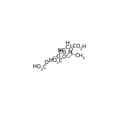 CC#N.CC(COC(=O)O)OC(=O)O.O=C(O)OCCOC(=O)O